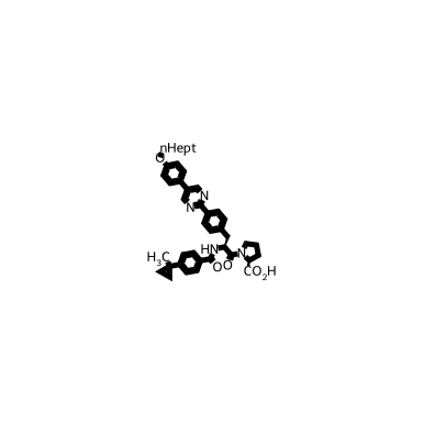 CCCCCCCOc1ccc(-c2cnc(-c3ccc(C[C@H](NC(=O)c4ccc(C5(C)CC5)cc4)C(=O)N4CCC[C@H]4C(=O)O)cc3)nc2)cc1